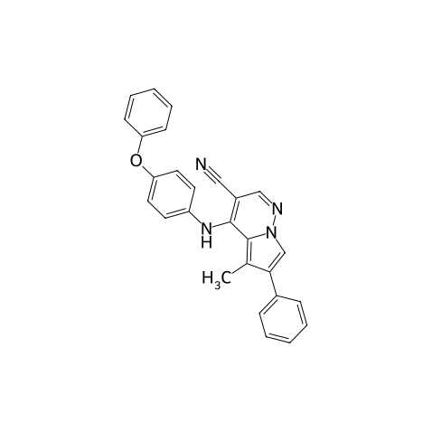 Cc1c(-c2ccccc2)cn2ncc(C#N)c(Nc3ccc(Oc4ccccc4)cc3)c12